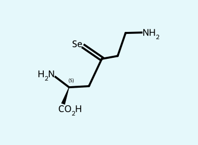 NCCC(=[Se])C[C@H](N)C(=O)O